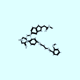 COC(=O)CC1Cc2ccc(SC[C@H]3CNCC(=O)N3c3ccc(OCCCOCc4ccccc4OC)cc3)cc2C1